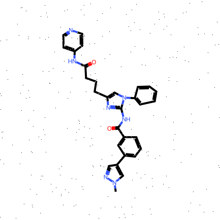 Cn1cc(-c2cccc(C(=O)Nc3nc(CCCC(=O)Nc4ccncc4)cn3-c3ccccc3)c2)cn1